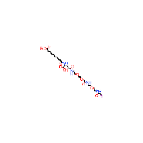 O=C(O)CCCCCCCCC(=O)N[C@H](CCC(=O)NCCOCCOCC(=O)NCCOCCNC(=O)CI)C(=O)O